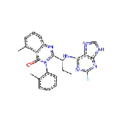 CCC(Nc1nc(F)nc2[nH]cnc12)c1nc2cccc(C)c2c(=O)n1-c1ccccc1C